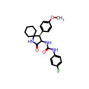 COc1ccc([C@H]2C(NC(=O)Nc3ccc(F)cc3)C(=O)NC23CCCCC3)cc1